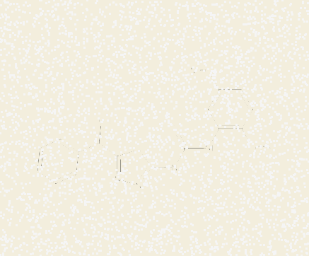 COc1ccc(OC)c(NC(=O)Nc2nnc(C(C)c3ccccc3)s2)c1